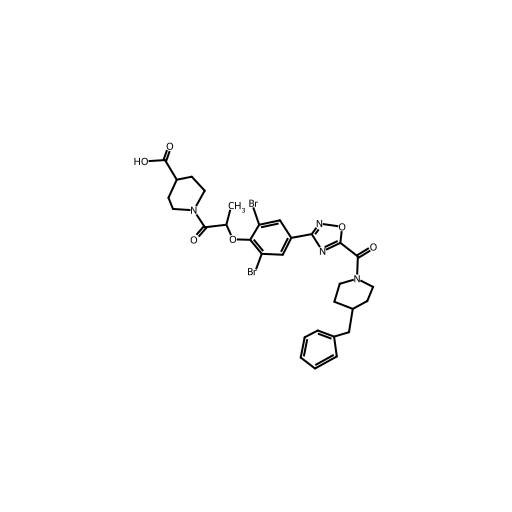 CC(Oc1c(Br)cc(-c2noc(C(=O)N3CCC(Cc4ccccc4)CC3)n2)cc1Br)C(=O)N1CCC(C(=O)O)CC1